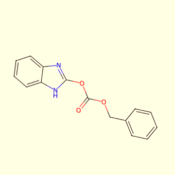 O=C(OCc1ccccc1)Oc1nc2ccccc2[nH]1